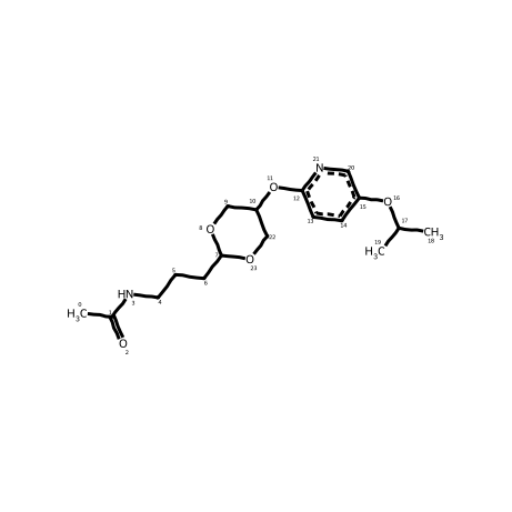 CC(=O)NCCCC1OCC(Oc2ccc(OC(C)C)cn2)CO1